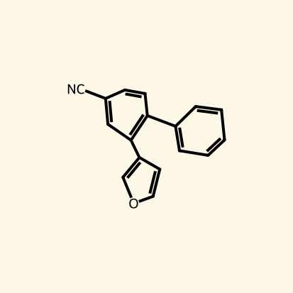 N#Cc1ccc(-c2ccccc2)c(-c2ccoc2)c1